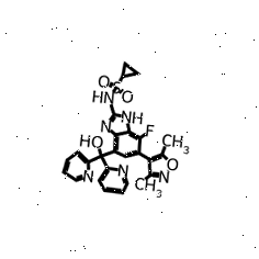 Cc1noc(C)c1-c1cc(C(O)(c2ccccn2)c2ccccn2)c2nc(NS(=O)(=O)C3CC3)[nH]c2c1F